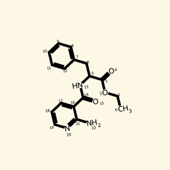 CCOC(=O)C(Cc1ccccc1)NC(=O)c1cccnc1N